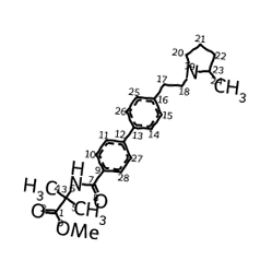 COC(=O)C(C)(C)NC(=O)c1ccc(-c2ccc(CCN3CCCC3C)cc2)cc1